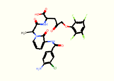 CC(C(=O)NC(CC(=O)COc1c(F)c(F)cc(F)c1F)C(=O)O)n1cccc(NC(=O)c2ccc(N)c(Cl)c2)c1=O